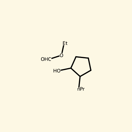 CCCC1CCCC1O.CCOC=O